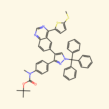 CSc1ccc(-c2ncnc3ccc(-c4cn(C(c5ccccc5)(c5ccccc5)c5ccccc5)nc4-c4ccc(N(C)C(=O)OC(C)(C)C)cc4)cc23)s1